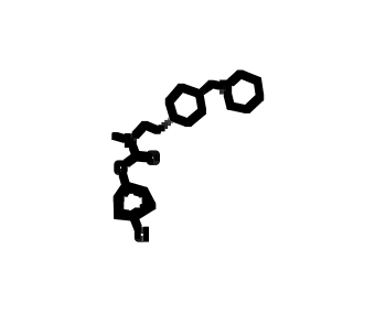 CN(CC[C@H]1CC[C@H](CN2CCCCC2)CC1)C(=O)Oc1ccc(Cl)cc1